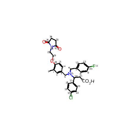 Cc1cc(CN(Cc2ccc(F)cc2)C(CC(=O)O)c2ccc(Cl)cc2)ccc1OCCN1C(=O)CCC1=O